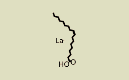 CCCCCCCC/C=C\CCCCCCCC(=O)O.[La]